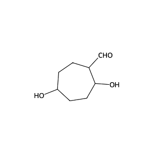 O=CC1CCC(O)CCC1O